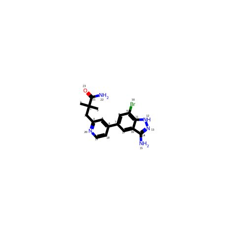 CC(C)(Cc1cc(-c2cc(Br)c3[nH]nc(N)c3c2)ccn1)C(N)=O